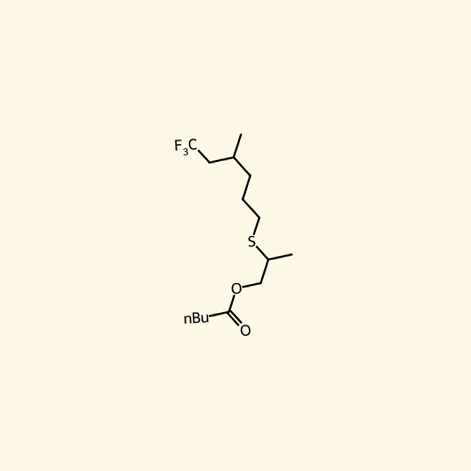 CCCCC(=O)OCC(C)SCCCC(C)CC(F)(F)F